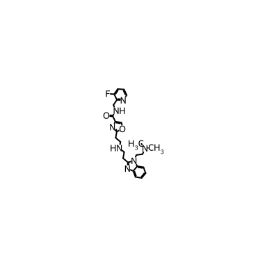 CN(C)CCn1c(CCNCCc2nc(C(=O)NCc3ncccc3F)co2)nc2ccccc21